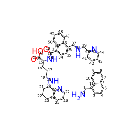 NCc1cccc2ccccc12.O=C(N[C@@H](CCCN[C@H]1CCCc2cccnc21)C(=O)O)c1ccc(CNCc2ccccn2)c2ccccc12